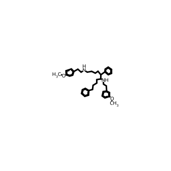 COc1ccc(CCNCCCCC(c2ccccc2)C(CCCCc2ccccc2)NCCc2cccc(OC)c2)cc1